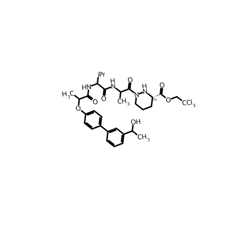 CC(NC(=O)C(NC(=O)C(C)Oc1ccc(-c2cccc(C(C)O)c2)cc1)C(C)C)C(=O)N1CCC[C@@H](C(=O)OCC(Cl)(Cl)Cl)N1